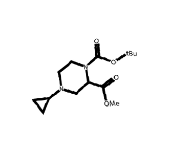 COC(=O)C1CN(C2CC2)CCN1C(=O)OC(C)(C)C